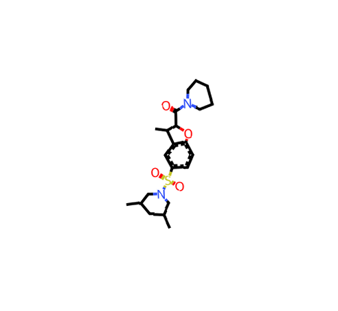 CC1CC(C)CN(S(=O)(=O)c2ccc3c(c2)C(C)C(C(=O)N2CCCCC2)O3)C1